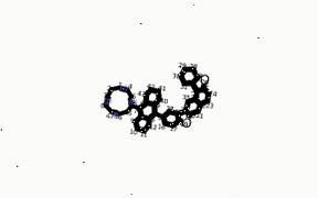 C1=C\C/C=C\C=C(\c2c3ccccc3c(-c3ccc4oc5cc6ccc7oc8ccccc8c7c6cc5c4c3)c3ccccc23)C\C=C/1